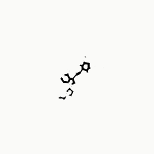 C=CC(=O)N1CC[C@H](n2cc(C#Cc3c(F)c(OC)cc(OC)c3F)c3c(N)nccc32)C1